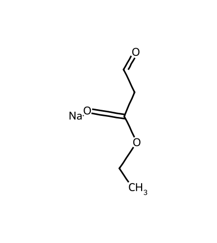 CCOC(=O)CC=O.[Na]